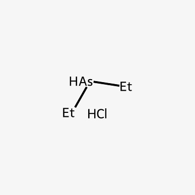 CC[AsH]CC.Cl